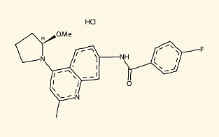 CO[C@@H]1CCCN1c1cc(C)nc2cc(NC(=O)c3ccc(F)cc3)ccc12.Cl